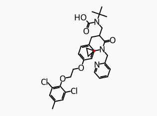 Cc1cc(Cl)c(OCCOc2ccc(CC(CN(C(=O)O)C(C)(C)C)C(=O)N(Cc3ccccn3)C3CC3)cc2)c(Cl)c1